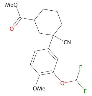 COC(=O)C1CCCC(C#N)(c2ccc(OC)c(OC(F)F)c2)C1